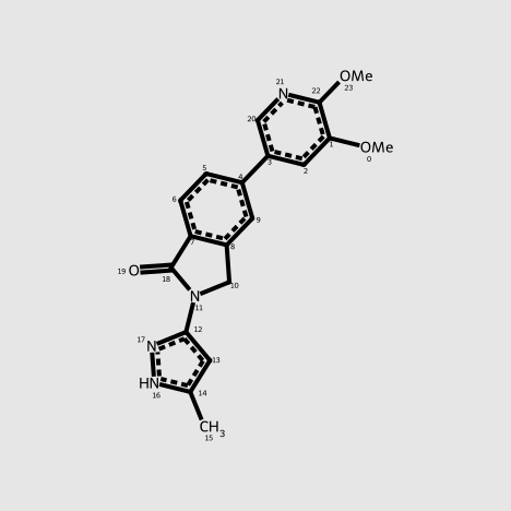 COc1cc(-c2ccc3c(c2)CN(c2cc(C)[nH]n2)C3=O)cnc1OC